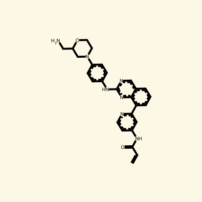 C=CC(=O)Nc1ccnc(-c2cccc3cnc(Nc4ccc(N5CCOC(CN)C5)cc4)nc23)c1